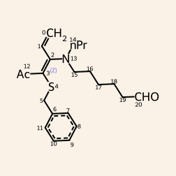 C=C/C(=C(/SCc1ccccc1)C(C)=O)N(CCC)CCCCCC=O